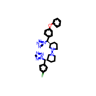 Fc1ccc(C([C@H]2CCCN(N3CCC[C@H](C(c4ccc(Oc5ccccc5)cc4)n4cnnn4)C3)C2)n2ncnn2)cc1